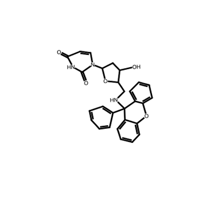 O=c1ccn(C2CC(O)C(CNC3(c4ccccc4)c4ccccc4Oc4ccccc43)O2)c(=O)[nH]1